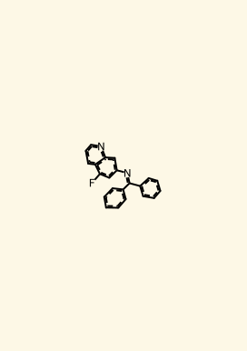 Fc1cc(N=C(c2ccccc2)c2ccccc2)cc2ncccc12